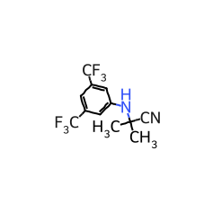 CC(C)(C#N)Nc1cc(C(F)(F)F)cc(C(F)(F)F)c1